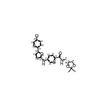 CC1(C)OC[C@@H](CNC(=O)c2ccc(Nc3ncc(-c4ccc(Cl)cn4)o3)cn2)O1